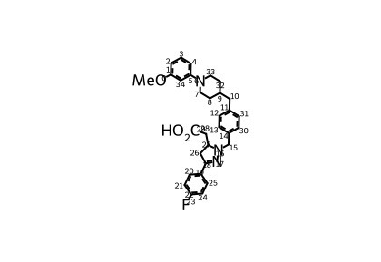 COc1cccc(N2CCC(Cc3ccc(CN4N=C(c5ccc(F)cc5)CC4CC(=O)O)cc3)CC2)c1